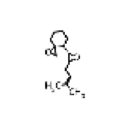 CC(C)=CCC1O[C@@H]1C1CCCCC12CO2